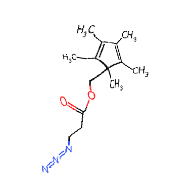 CC1=C(C)C(C)(COC(=O)CCN=[N+]=[N-])C(C)=C1C